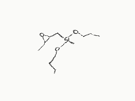 CCCO[Si](C)(CC1OC1C)OCCC